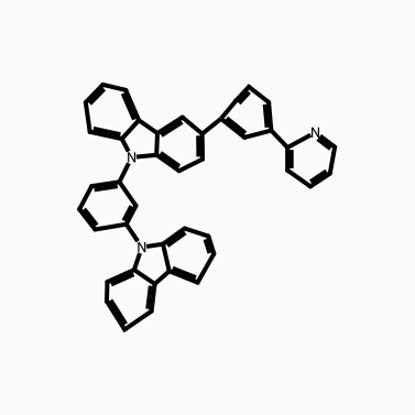 c1ccc(-c2cccc(-c3ccc4c(c3)c3ccccc3n4-c3cccc(-n4c5ccccc5c5ccccc54)c3)c2)nc1